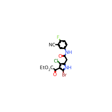 CCOC(=O)C(=O)c1c(Br)[nH]c(CC(=O)Nc2ccc(F)c(C#N)c2)c1Cl